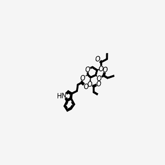 CCC(=O)O[C@H]1[C@H](OC(=O)CCc2c[nH]c3ccccc23)OC[C@@H](OC(=O)CC)[C@H]1OC(=O)CC